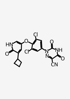 N#Cc1nn(-c2cc(Cl)c(Oc3c[nH]c(=O)c(C4CCC4)c3)c(Cl)c2)c(=O)[nH]c1=O